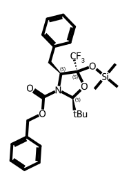 CC(C)(C)[C@@H]1O[C@@](O[Si](C)(C)C)(C(F)(F)F)[C@H](Cc2ccccc2)N1C(=O)OCc1ccccc1